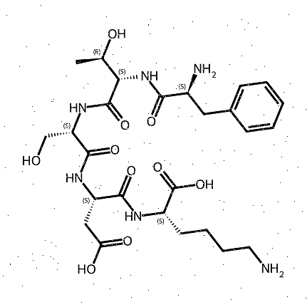 C[C@@H](O)[C@H](NC(=O)[C@@H](N)Cc1ccccc1)C(=O)N[C@@H](CO)C(=O)N[C@@H](CC(=O)O)C(=O)N[C@@H](CCCCN)C(=O)O